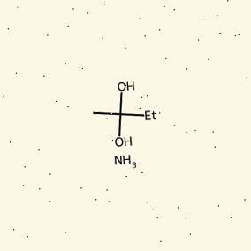 CCC(C)(O)O.N